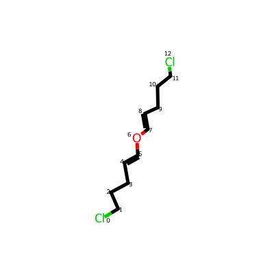 ClCCCC=COC=CCCCCl